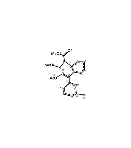 COCC(C(=O)OC)c1ccccc1C(=NOC(C)=O)c1nccc(C(C)=O)n1